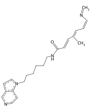 C=N\C=C/C=C(C)/C=C/C(=O)NCCCCCCn1ccc2cnccc21